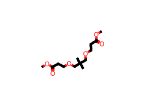 COC(=O)CCOCC(C)(C)COCCC(=O)OC